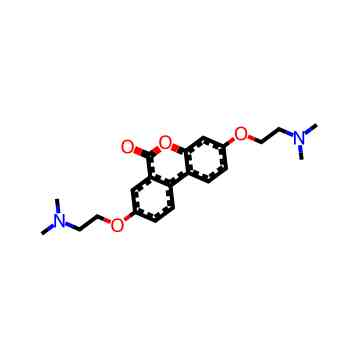 CN(C)CCOc1ccc2c(c1)oc(=O)c1cc(OCCN(C)C)ccc12